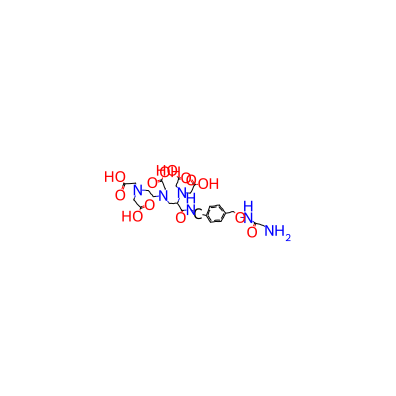 NCC(=O)NOCc1ccc(CNC(=O)C(CN(CCN(CC(=O)O)CC(=O)O)CC(=O)O)N(CC(=O)O)CC(=O)O)cc1